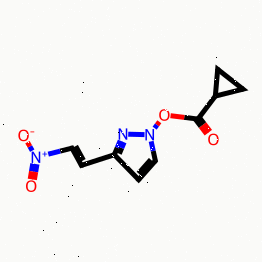 O=C(On1ccc(C=C[N+](=O)[O-])n1)C1CC1